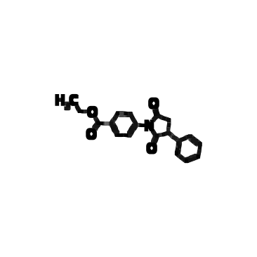 CCOC(=O)c1ccc(N2C(=O)CC(c3ccccc3)C2=O)cc1